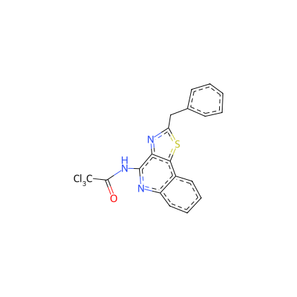 O=C(Nc1nc2ccccc2c2sc(Cc3ccccc3)nc12)C(Cl)(Cl)Cl